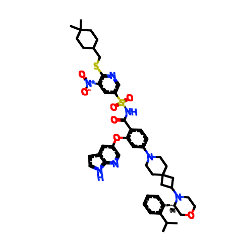 CC(C)c1ccccc1[C@H]1COCCN1C1CC2(CCN(c3ccc(C(=O)NS(=O)(=O)c4cnc(SCC5CCC(C)(C)CC5)c([N+](=O)[O-])c4)c(Oc4cnc5[nH]ccc5c4)c3)CC2)C1